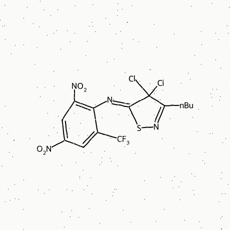 CCCCC1=NSC(=Nc2c([N+](=O)[O-])cc([N+](=O)[O-])cc2C(F)(F)F)C1(Cl)Cl